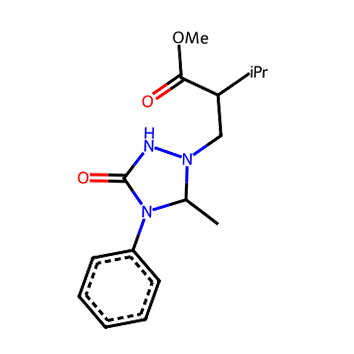 COC(=O)C(CN1NC(=O)N(c2ccccc2)C1C)C(C)C